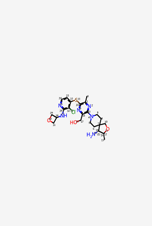 Cc1nc(N2CCC3(CC2)CO[C@@H](C)[C@H]3N)c(CO)nc1Sc1ccnc(NC2COC2)c1Cl